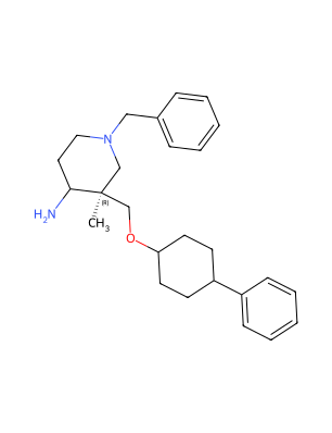 C[C@@]1(COC2CCC(c3ccccc3)CC2)CN(Cc2ccccc2)CCC1N